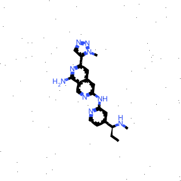 CC[C@H](NC)c1ccnc(Nc2cc3cc(-c4cnnn4C)nc(N)c3cn2)c1